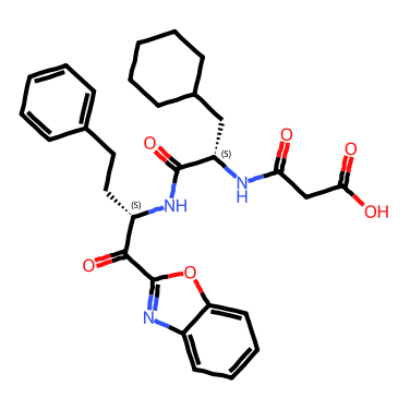 O=C(O)CC(=O)N[C@@H](CC1CCCCC1)C(=O)N[C@@H](CCc1ccccc1)C(=O)c1nc2ccccc2o1